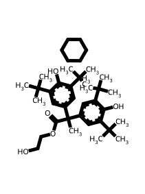 C1CCCCC1.CC(C)(C)c1cc(C(C)(C(=O)OCCO)c2cc(C(C)(C)C)c(O)c(C(C)(C)C)c2)cc(C(C)(C)C)c1O